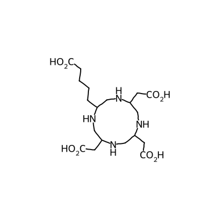 O=C(O)CCCCC1CNC(CC(=O)O)CNC(CC(=O)O)CNC(CC(=O)O)CN1